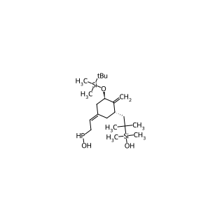 C=C1[C@H](CC(C)(C)[Si](C)(C)O)C/C(=C\CPO)C[C@H]1O[Si](C)(C)C(C)(C)C